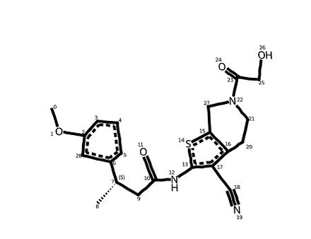 COc1cccc([C@@H](C)CC(=O)Nc2sc3c(c2C#N)CCN(C(=O)CO)C3)c1